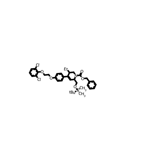 CCC1CN(C(=O)OCc2ccccc2)C(CO[Si](C)(C)C(C)(C)C)C=C1c1ccc(OCCOc2c(Cl)cccc2Cl)cc1